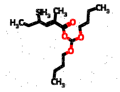 CCCCOC(OCCCC)OC(=O)C(C)=CC([SiH3])CC